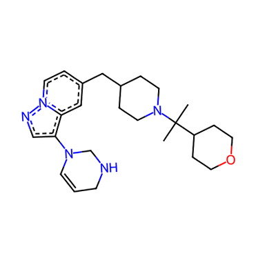 CC(C)(C1CCOCC1)N1CCC(Cc2ccn3ncc(N4C=CCNC4)c3c2)CC1